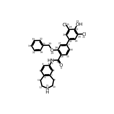 O=C(Nc1ccc2c(c1)CCNCC2)c1ccc(-c2cc(Cl)c(O)c(Cl)c2)cc1OCc1ccccc1